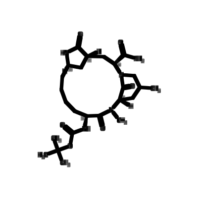 CC1C[C@H]2C(=O)N(C1)[C@H](C(N)=O)C[C@@H]1C[C@@H](CCCC[C@H](NC(=O)OC(C)(C)C)C(=O)N2C)NC1=O